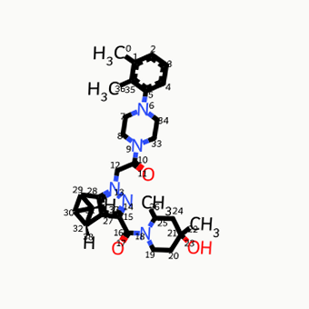 Cc1cccc(N2CCN(C(=O)Cn3nc(C(=O)N4CCC(C)(O)CC4C)c4c3C3C5[C@H]3[C@H]45)CC2)c1C